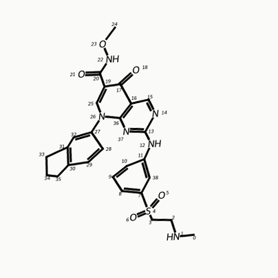 CNCCS(=O)(=O)c1cccc(Nc2ncc3c(=O)c(C(=O)NOC)cn(-c4ccc5c(c4)CCC5)c3n2)c1